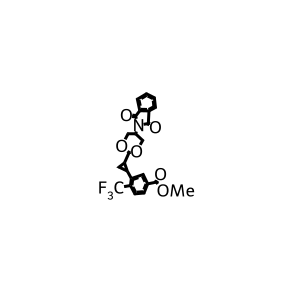 COC(=O)c1ccc(C(F)(F)F)c(C2CC2C2OCC(N3C(=O)c4ccccc4C3=O)CO2)c1